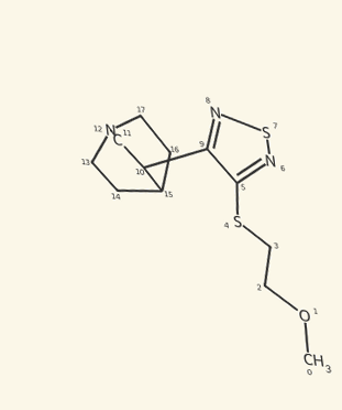 COCCSc1nsnc1C1CN2CCC1CC2